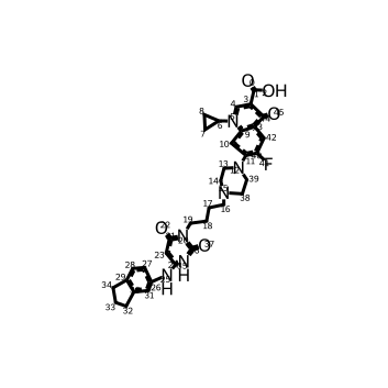 O=C(O)c1cn(C2CC2)c2cc(N3CCN(CCCCn4c(=O)cc(Nc5ccc6c(c5)CCC6)[nH]c4=O)CC3)c(F)cc2c1=O